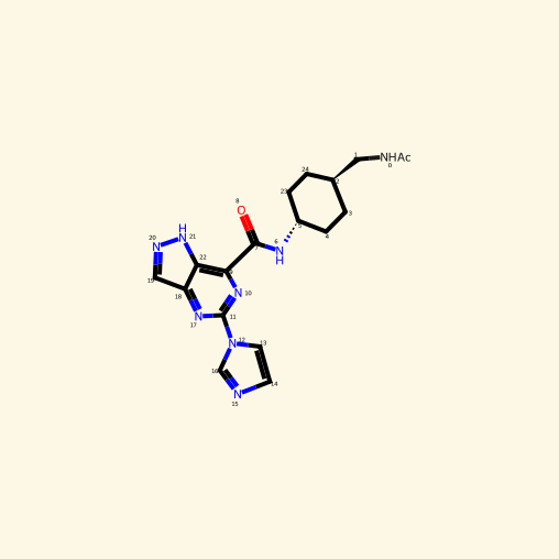 CC(=O)NC[C@H]1CC[C@H](NC(=O)c2nc(-n3ccnc3)nc3cn[nH]c23)CC1